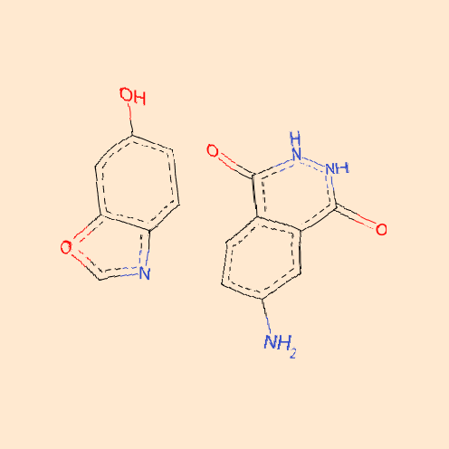 Nc1ccc2c(=O)[nH][nH]c(=O)c2c1.Oc1ccc2ncoc2c1